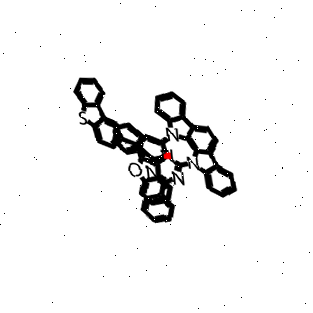 c1ccc(-c2nc(-c3ccccc3)nc(-n3c4ccccc4c4ccc5c6ccccc6n(-c6cc(-c7ccc8sc9ccccc9c8c7)c7oc8ccccc8c7c6)c5c43)n2)cc1